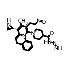 CC1=C([C@@H]2CN2)C2=CCc3ccccc3N2C(N2CCC(C(=O)NN=N)CC2)=C1CCN=O